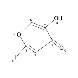 O=c1cc(I)occ1O